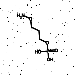 NOCCCOP(=O)(O)O